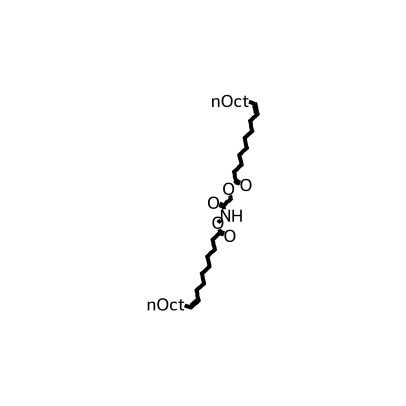 CCCCCCCC/C=C\CCCCCCCC(=O)OCC(=O)NOC(=O)CCCCCCC/C=C\CCCCCCCC